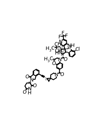 C[C@H]1CN(C(=O)[C@@H]2N[C@@H](CC(C)(C)C)[C@@]3(CNc4cc(C(F)(F)F)ncc43)[C@H]2c2cccc(Cl)c2F)c2ccc(C(=O)N3CCC4(CC3)C[C@@H]4C#Cc3cccc4c3CN([C@H]3CCC(=O)NC3=O)C4=O)cc2O1